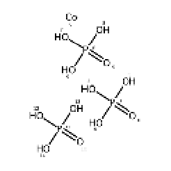 O=P(O)(O)O.O=P(O)(O)O.O=P(O)(O)O.[Co]